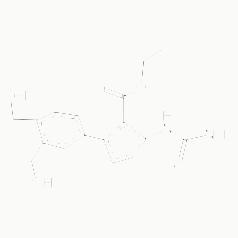 CCOC(=O)c1c(-c2ccc(CO)c(CO)c2)csc1NC(N)=O